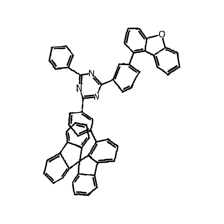 c1ccc(-c2nc(-c3cccc(-c4cccc5c4C4(c6ccccc6-c6ccccc64)c4ccccc4-5)c3)nc(-c3cccc(-c4cccc5oc6ccccc6c45)c3)n2)cc1